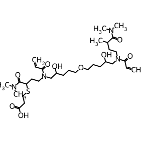 C=CC(=O)N(CCC(C)C(=O)N(C)C)CC(O)CCCOCCCC(O)CN(CCC(SCCC(=O)O)C(=O)N(C)C)C(=O)C=C